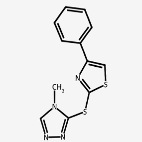 Cn1cnnc1Sc1nc(-c2ccccc2)cs1